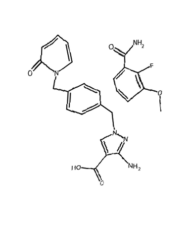 COc1cccc(C(N)=O)c1F.Nc1nn(Cc2ccc(Cn3ccccc3=O)cc2)cc1C(=O)O